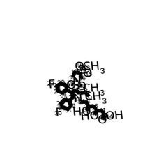 CC(C)c1c(S(=O)(=O)N2CCC(S(C)(=O)=O)C2)c(-c2ccc(F)cc2)c(-c2ccc(F)cc2)n1CCC(O)CC(O)CC(=O)O